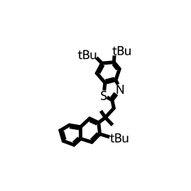 CC(C)(C)c1cc2nc(CC(C)(C)c3cc4ccccc4cc3C(C)(C)C)sc2cc1C(C)(C)C